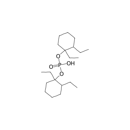 CCC1CCCCC1(CC)OP(=O)(O)OC1(CC)CCCCC1CC